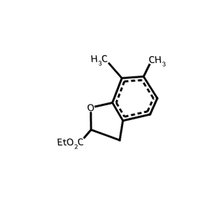 CCOC(=O)C1Cc2ccc(C)c(C)c2O1